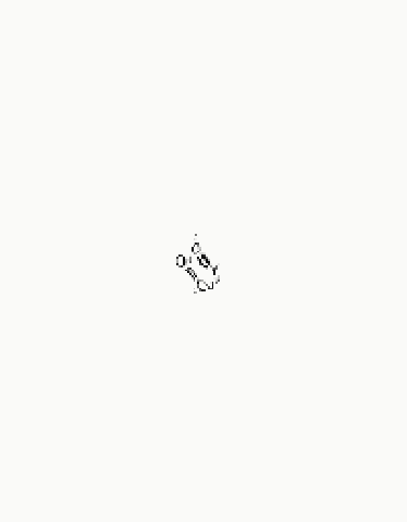 [O]=[Cu].[O]=[Y]